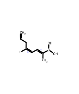 C=CC/C(F)=C\C=C(/C)B(O)O